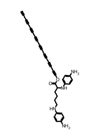 C#CC#CC#CC#CC#CC#CC#CC#COC(=O)C(CCCCNc1ccc(N)cc1)Nc1ccc(N)cc1